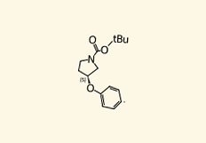 CC(C)(C)OC(=O)N1CC[C@H](Oc2cc[c]cc2)C1